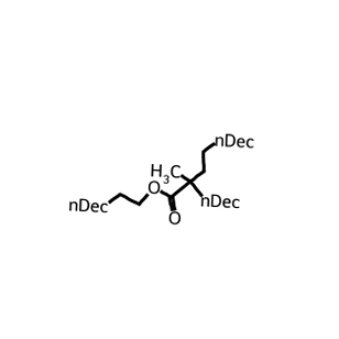 CCCCCCCCCCCCOC(=O)C(C)(CCCCCCCCCC)CCCCCCCCCCCC